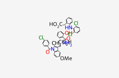 COc1ccc2c(c1)c(CC(=O)O)c(C)n2C(=O)c1ccc(Cl)cc1.NC(=O)c1ccccc1O.O=C(O)Cc1ccccc1Nc1c(Cl)cccc1Cl